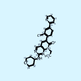 CCn1c(=O)c(-c2ccc(-c3ccccn3)cc2Cl)cc2cnc(NC3CCOCC3)nc21